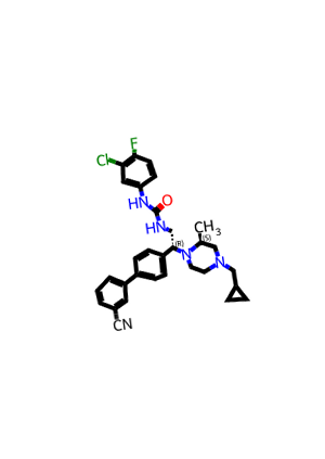 C[C@H]1CN(CC2CC2)CCN1[C@@H](CNC(=O)Nc1ccc(F)c(Cl)c1)c1ccc(-c2cccc(C#N)c2)cc1